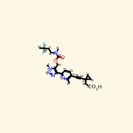 Cc1nc(-c2nnn(C)c2COC(=O)N(C)CCC(C)(F)F)ccc1C#CC1(CC(=O)O)CC1